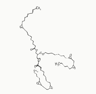 CCCCCCCCC1OC1CCCCCCCC(=O)OCC(COC(=O)CCCCCCCC1OC1CC1OC1CCCCC)OOCCCCCCCC[C@@H]1OC1CC1OC1CCCCC